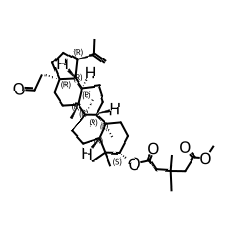 C=C(C)[C@@H]1CC[C@]2(CC=O)CC[C@]3(C)[C@H](CC[C@@H]4[C@@]5(C)CC[C@H](OC(=O)CC(C)(C)CC(=O)OC)C(C)(C)[C@@H]5CC[C@]43C)[C@@H]12